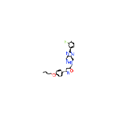 CCCCOc1ccc(-c2cc(Cn3cc4nc(-c5cccc(F)c5)nc-4cn3)on2)cc1